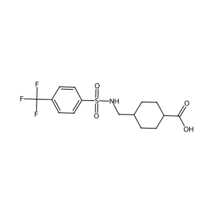 O=C(O)C1CCC(CNS(=O)(=O)c2ccc(C(F)(F)F)cc2)CC1